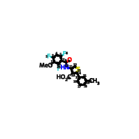 COc1c(F)cc(F)c(C(=O)Nc2csc(-c3cccc(C)c3)c2C(=O)O)c1F